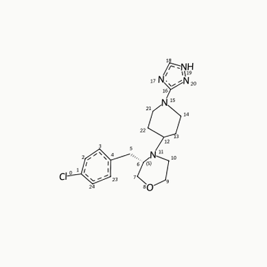 Clc1ccc(C[C@H]2COCCN2C2CCN(c3nc[nH]n3)CC2)cc1